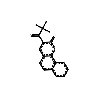 CC(C)(C)C(=O)c1cc2ccc3ccccc3c2oc1=O